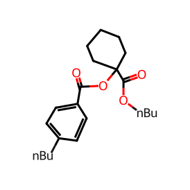 CCCCOC(=O)C1(OC(=O)c2ccc(CCCC)cc2)CCCCC1